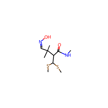 CNC(=O)C(C(SC)SC)C(C)(C)/C=N\O